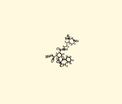 CNC(=O)c1cc(C(=O)NCCCC2CCNCC2(F)F)cc2c1O[C@@H](C)[C@@H]2c1ccccc1